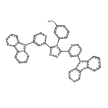 Cc1cccc(-n2c(-c3cc(-n4c5ccccc5c5ccccc54)ccn3)nnc2-c2cc(-n3c4ccccc4c4ccccc43)ccn2)c1